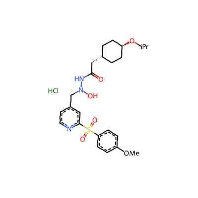 COc1ccc(S(=O)(=O)c2cc(CN(O)NC(=O)C[C@H]3CC[C@H](OC(C)C)CC3)ccn2)cc1.Cl